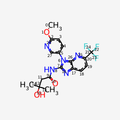 COc1ccc(-n2c(NC(=O)CC(C)(C)O)nc3ccc(C(F)(F)F)nc32)cn1